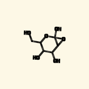 OCC1OC2(O)OC2C(O)C1O